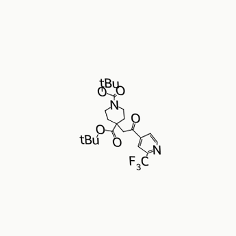 CC(C)(C)OC(=O)N1CCC(CC(=O)c2ccnc(C(F)(F)F)c2)(C(=O)OC(C)(C)C)CC1